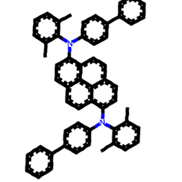 Cc1cccc(C)c1N(c1ccc(-c2ccccc2)cc1)c1ccc2ccc3c(N(c4ccc(-c5ccccc5)cc4)c4c(C)cccc4C)ccc4ccc1c2c43